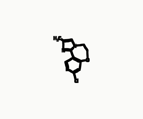 Cc1cn2c(n1)-c1cnc(Cl)cc1OCC2